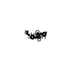 Cc1cccc(/C=c2\[nH]c(=O)/c(=C/c3ccc(SCCN(C)C)cc3)[nH]c2=O)c1